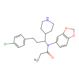 CCC(=O)N(c1ccc2c(c1)OCO2)C(CCc1ccc(Cl)cc1)C1CCNCC1